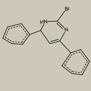 BrC1=NC(c2ccccc2)=CC(c2ccccc2)N1